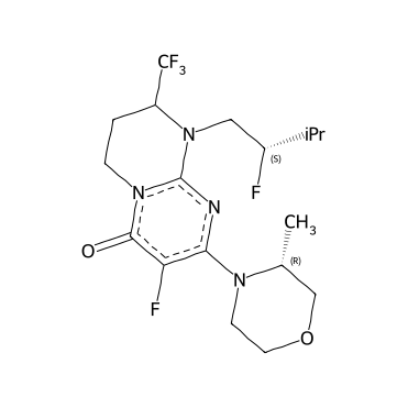 CC(C)[C@H](F)CN1c2nc(N3CCOC[C@H]3C)c(F)c(=O)n2CCC1C(F)(F)F